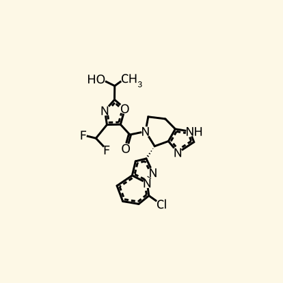 CC(O)c1nc(C(F)F)c(C(=O)N2CCc3[nH]cnc3[C@@H]2c2cc3cccc(Cl)n3n2)o1